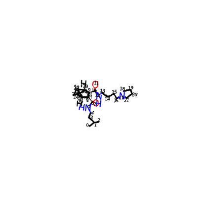 CC(C)CCNC(=O)[C@H]1[C@H](C(=O)NCCCCN2CCCC2)[C@H]2C=C[C@@H]1C21CC1